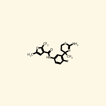 Cc1cc(C(=O)Nc2ccc(F)c(C3(C)CCSC(N)=N3)c2)c(C(F)(F)F)o1